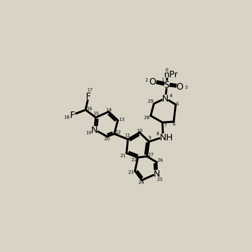 CCCS(=O)(=O)N1CCC(Nc2cc(-c3ccc(C(F)F)nc3)cc3ccncc23)CC1